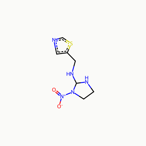 O=[N+]([O-])N1CCNC1NCc1cncs1